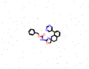 O=C(NC1=NC2(CCc3cccc(-c4cncnc4)c3C2)CO1)OCc1ccccc1